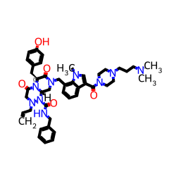 C=CCN1CC(=O)N2[C@@H](Cc3ccc(O)cc3)C(=O)N(Cc3cccc4c(C(=O)N5CCN(CCCN(C)C)CC5)cn(C)c34)C[C@@H]2N1C(=O)NCc1ccccc1